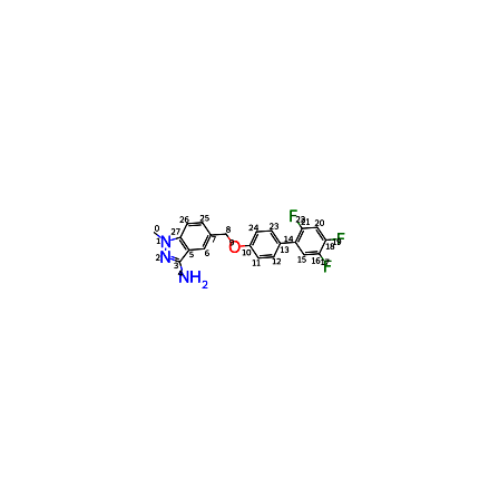 Cn1nc(N)c2cc(COc3ccc(-c4cc(F)c(F)cc4F)cc3)ccc21